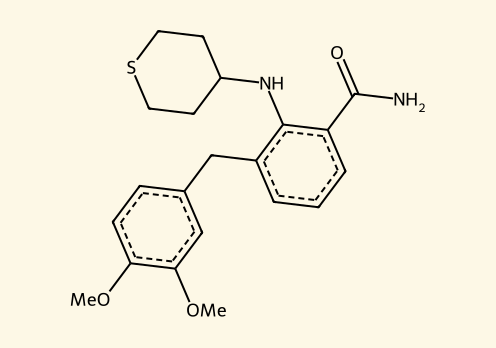 COc1ccc(Cc2cccc(C(N)=O)c2NC2CCSCC2)cc1OC